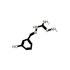 NN=C(N)NN=Cc1cccc(O)c1